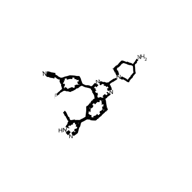 Cc1[nH]ncc1-c1ccc2nc(N3CCC(N)CC3)nc(-c3ccc(C#N)c(F)c3)c2c1